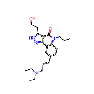 CCCn1c(=O)c2c(CCO)[nH]nc2c2cc(C=CCN(CC)CC)ccc21